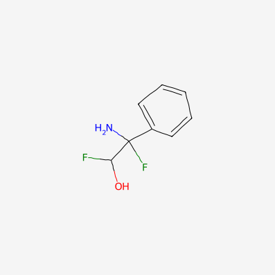 NC(F)(c1ccccc1)C(O)F